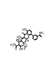 C=C(N)c1cccc(-c2ccc(O)c3c2C[C@H]2C[C@H]4[C@H](N(C)C)C(O)=C(C(N)=O)C(=O)C4(O)C(O)=C2C3=O)c1